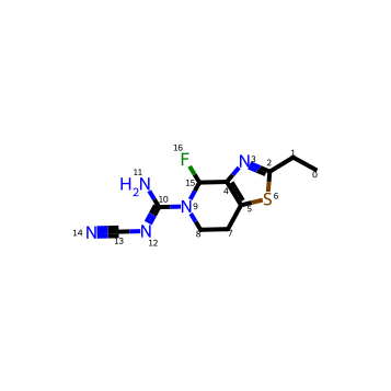 CCc1nc2c(s1)CCN(/C(N)=N/C#N)C2F